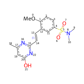 COc1ccc(S(=O)(=O)N(C)C)cc1/C=C/c1nc(C)cc(O)n1